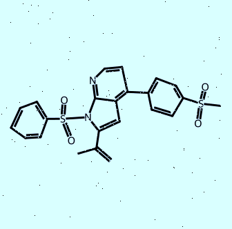 C=C(C)c1cc2c(-c3ccc(S(C)(=O)=O)cc3)ccnc2n1S(=O)(=O)c1ccccc1